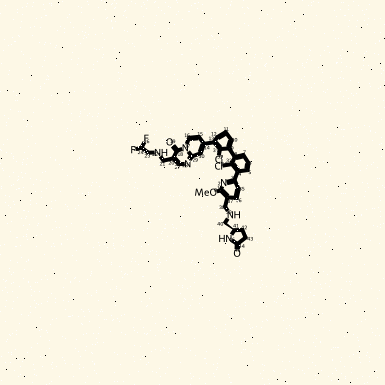 COc1nc(-c2cccc(-c3cccc(-c4ccn5c(=O)c(CNCC(F)F)cnc5c4)c3Cl)c2Cl)ccc1CNC[C@H]1CCC(=O)N1